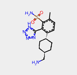 Cc1ccc([C@H]2CC[C@H](CN)CC2)c(-c2nnn[nH]2)c1S(N)(=O)=O